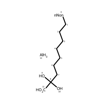 CCCCCCCCCCCCCCCCC(O)(O)C(=O)O.[AlH3]